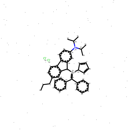 CCCc1ccc2c(c1)[CH]([Zr+2](=[C](c1ccccc1)c1ccccc1)[CH]1C=CC=C1)c1cc(N(C(C)C)C(C)C)ccc1-2.[Cl-].[Cl-]